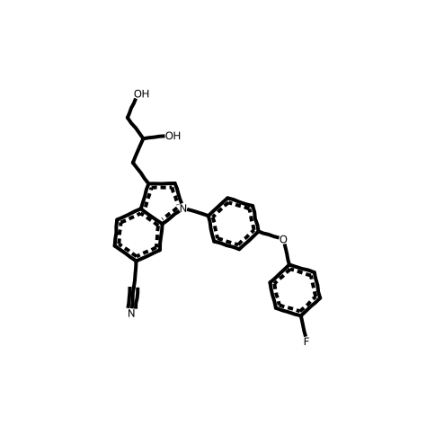 N#Cc1ccc2c(CC(O)CO)cn(-c3ccc(Oc4ccc(F)cc4)cc3)c2c1